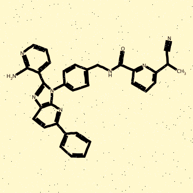 CC(C#N)c1cccc(C(=O)NCc2ccc(-n3c(-c4cccnc4N)nc4ccc(-c5ccccc5)nc43)cc2)n1